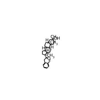 C[C@@]1(O)CC[C@@]2(C)[C@H](CC[C@@H]3[C@@H]2CC[C@]2(C)[C@@H](C(=O)Cc4ccccc4F)CC[C@@H]32)C1